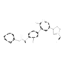 Nc1ncc(C2CCN(C=O)C2)cc1-c1ccc(C(=O)NCc2ccccc2)c(F)c1